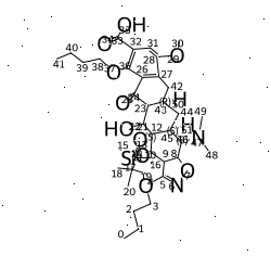 CCCCOC1=NOC2C1C(=O)[C@@]1(O[Si](C)(C)C(C)(C)C)C(O)C3C(=O)c4c(c(OC)cc(C(=O)O)c4OCCCC)C[C@H]3C[C@H]1[C@@H]2N(C)C